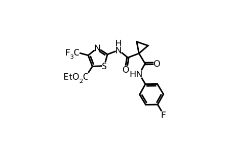 CCOC(=O)c1sc(NC(=O)C2(C(=O)Nc3ccc(F)cc3)CC2)nc1C(F)(F)F